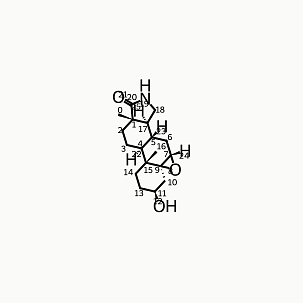 C[C@]12CC[C@H]3[C@@H](C[C@@H]4O[C@]45C[C@@H](O)CC[C@]35C)[C@@H]1CNC2=O